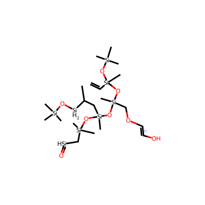 C=C[Si](C)(O[Si](C)(C)C)O[Si](C)(CO/C=C/O)O[Si](C)(CC(C)[SiH2]O[Si](C)(C)C)O[Si](C)(C)C[SiH]=O